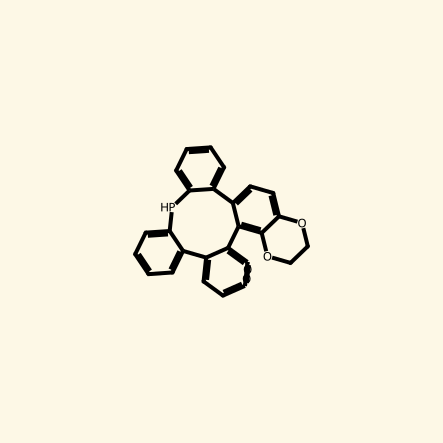 c1ccc2c(c1)[pH]c1ccccc1c1ccc3c(c1c1c4c(ccc21)OCCO4)OCCO3